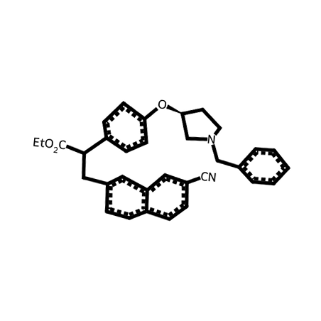 CCOC(=O)C(Cc1ccc2ccc(C#N)cc2c1)c1ccc(O[C@H]2CCN(Cc3ccccc3)C2)cc1